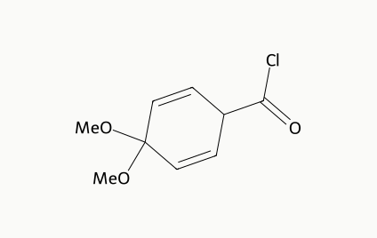 COC1(OC)C=CC(C(=O)Cl)C=C1